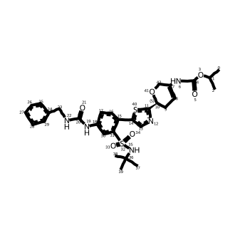 CC(C)OC(=O)NC1=CC[C@@H](c2ncc(-c3ccc(NC(=O)NCc4ccccc4)cc3S(=O)(=O)NC(C)(C)C)s2)OC1